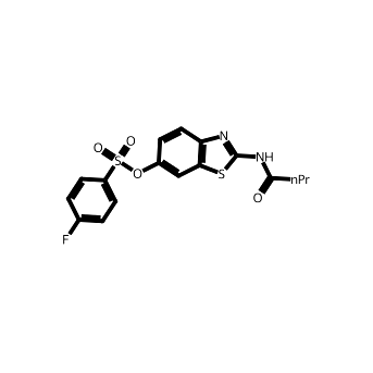 CCCC(=O)Nc1nc2ccc(OS(=O)(=O)c3ccc(F)cc3)cc2s1